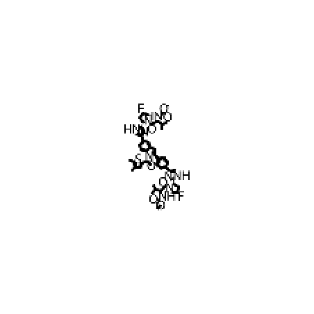 COC(=O)N[C@H](C(=O)N1C[C@H](F)C[C@H]1c1nc(-c2ccc3c(c2)OC(c2cc(C)c(C)s2)n2c-3cc3cc(-c4c[nH]c([C@@H]5C[C@@H](F)CN5C(=O)[C@@H](NC(=O)OC)C(C)C)n4)ccc32)c[nH]1)C(C)C